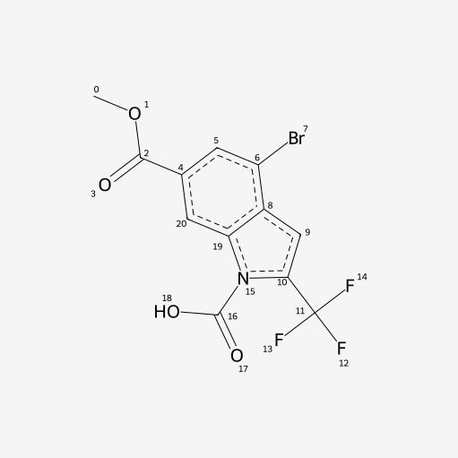 COC(=O)c1cc(Br)c2cc(C(F)(F)F)n(C(=O)O)c2c1